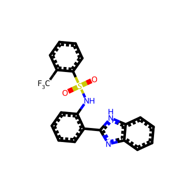 O=S(=O)(Nc1ccccc1-c1nc2ccccc2[nH]1)c1ccccc1C(F)(F)F